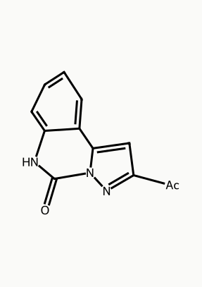 CC(=O)c1cc2c3ccccc3[nH]c(=O)n2n1